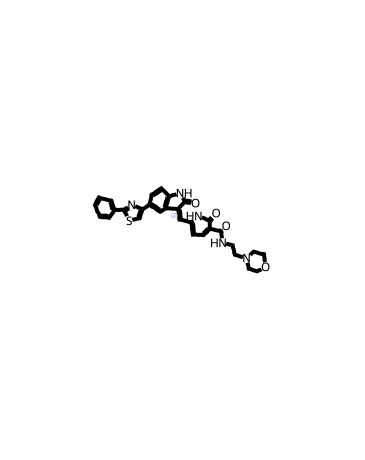 O=C1Nc2ccc(-c3csc(-c4ccccc4)n3)cc2/C1=C/c1ccc(C(=O)NCCN2CCOCC2)c(=O)[nH]1